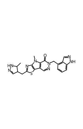 CC1NN=CC1Cc1nc2c(s1)c1cnn(Cc3cccc4[nH]ncc34)c(=O)c1n2C